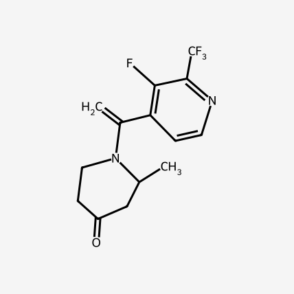 C=C(c1ccnc(C(F)(F)F)c1F)N1CCC(=O)CC1C